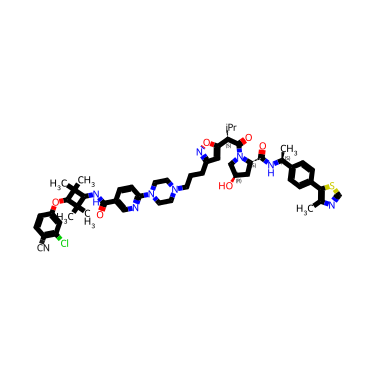 Cc1ncsc1-c1ccc([C@H](C)NC(=O)[C@@H]2C[C@@H](O)CN2C(=O)[C@H](c2cc(CCCN3CCN(c4ccc(C(=O)NC5C(C)(C)C(Oc6ccc(C#N)c(Cl)c6)C5(C)C)cn4)CC3)no2)C(C)C)cc1